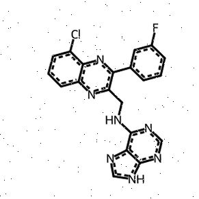 Fc1cccc(-c2nc3c(Cl)cccc3nc2CNc2ncnc3[nH]cnc23)c1